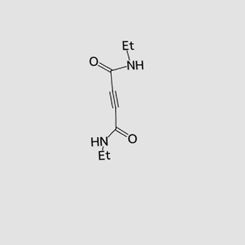 CCNC(=O)C#CC(=O)NCC